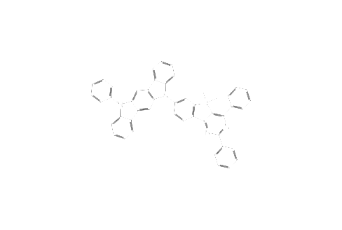 C[Si]1(C)c2cc(-n3c4ccccc4c4cc5c(cc43)c3ccccc3n5-c3ccccc3)ccc2-c2nc(-c3ccccc3)nc(-c3ccccc3)c21